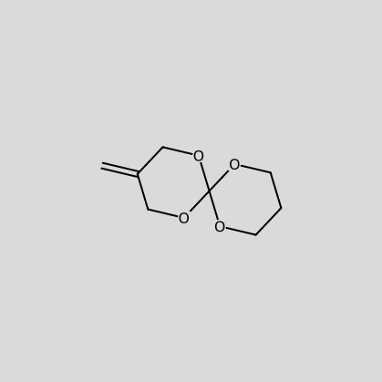 C=C1COC2(OCCCO2)OC1